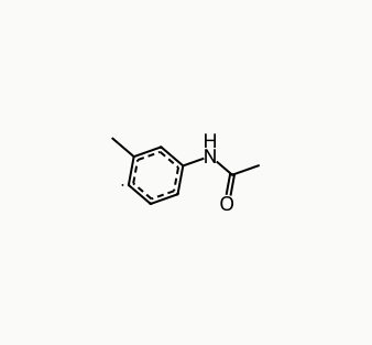 CC(=O)Nc1cc[c]c(C)c1